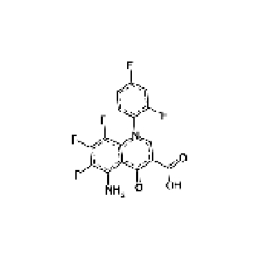 Nc1c(F)c(F)c(F)c2c1c(=O)c(C(=O)O)cn2-c1ccc(F)cc1F